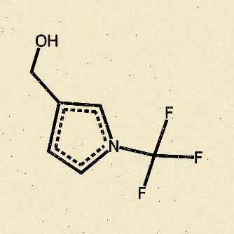 OCc1ccn(C(F)(F)F)c1